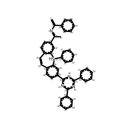 C=C(/N=C(\C)c1ccc2c(c1)[SiH](c1ccccc1)c1cc(-c3nc(-c4ccccc4)nc(-c4ccccc4)n3)ccc1C=C2)c1ccccc1